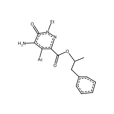 CCn1nc(C(=O)OC(C)Cc2ccccc2)c(C(C)=O)c(N)c1=O